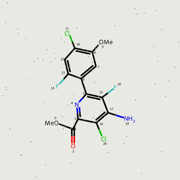 COC(=O)c1nc(-c2cc(OC)c(Cl)cc2F)c(F)c(N)c1Cl